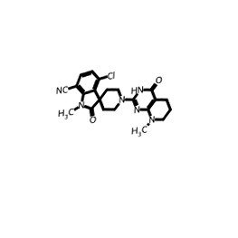 CN1CCCc2c1nc(N1CCC3(CC1)C(=O)N(C)c1c(C#N)ccc(Cl)c13)[nH]c2=O